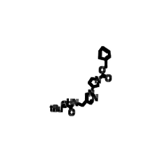 CC(C)(C)OC(=O)NCc1cnn([C@H]2CCN(C(=O)OCc3ccccc3)C2)c1